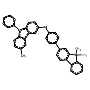 Cc1ccc2c(c1)c1cc(Nc3ccc(-c4ccc5c(c4)C(C)(C)c4ccccc4-5)cc3)ccc1n2-c1ccccc1